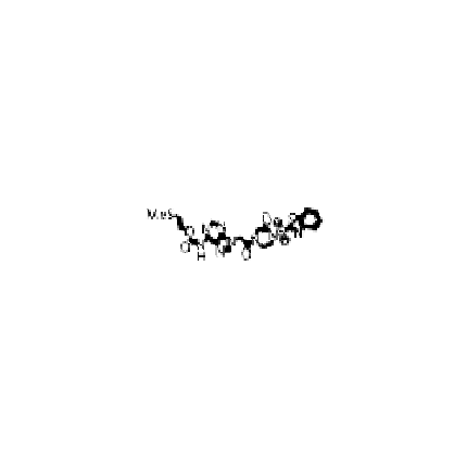 CSCCOC(=O)Nc1ncnc2c1ncn2CC(=O)N1CCN(S(=O)(=O)c2nc3ccccc3s2)C(=O)C1